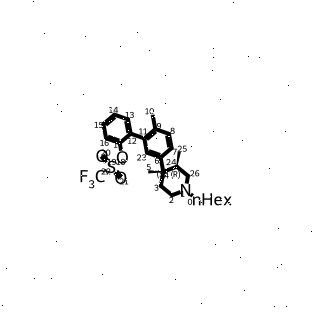 CCCCCCN1CC[C@](C)(c2ccc(C)c(-c3ccccc3OS(=O)(=O)C(F)(F)F)c2)[C@@H](C)C1